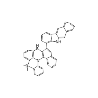 C[Si]1(C)c2ccccc2N2c3c(cccc31)Bc1c(-c3cccc4c3[nH]c3cc5ccccc5cc34)cc3ccccc3c12